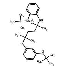 CC(C)(C)Nc1cccc(NC(C)(C)CCC(C)(C)Nc2ccccc2NC(C)(C)C)c1